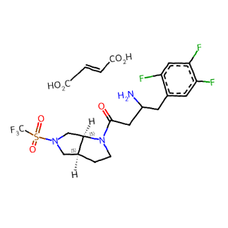 NC(CC(=O)N1CC[C@H]2CN(S(=O)(=O)C(F)(F)F)C[C@H]21)Cc1cc(F)c(F)cc1F.O=C(O)C=CC(=O)O